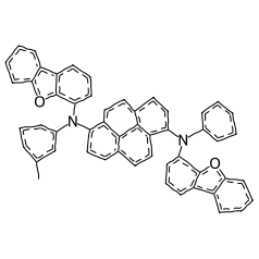 Cc1cccc(N(c2ccc3ccc4c(N(c5ccccc5)c5cccc6c5oc5ccccc56)ccc5ccc2c3c54)c2cccc3c2oc2ccccc23)c1